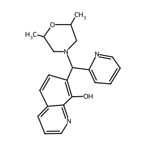 CC1CN(C(c2ccccn2)c2ccc3cccnc3c2O)CC(C)O1